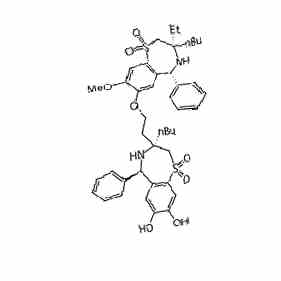 CCCC[C@]1(CCOc2cc3c(cc2OC)S(=O)(=O)C[C@@](CC)(CCCC)N[C@@H]3c2ccccc2)CS(=O)(=O)c2cc(O)c(O)cc2[C@@H](c2ccccc2)N1